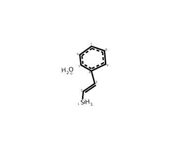 O.[SiH3]C=Cc1ccccc1